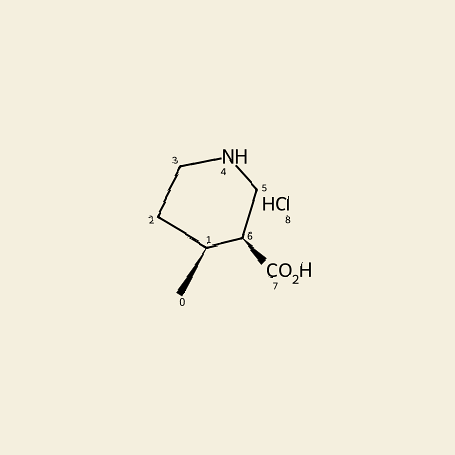 C[C@H]1CCNC[C@H]1C(=O)O.Cl